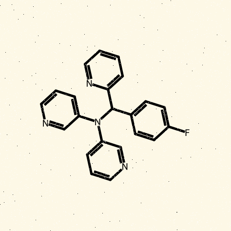 Fc1ccc(C(c2ccccn2)N(c2cccnc2)c2cccnc2)cc1